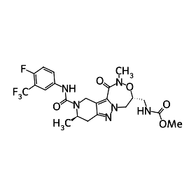 COC(=O)NC[C@@H]1Cn2nc3c(c2C(=O)N(C)O1)CN(C(=O)Nc1ccc(F)c(C(F)(F)F)c1)[C@H](C)C3